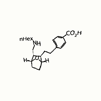 CCCCCCNC[C@@H]1[C@@H](CCc2ccc(C(=O)O)cc2)[C@@H]2CC[C@H]1O2